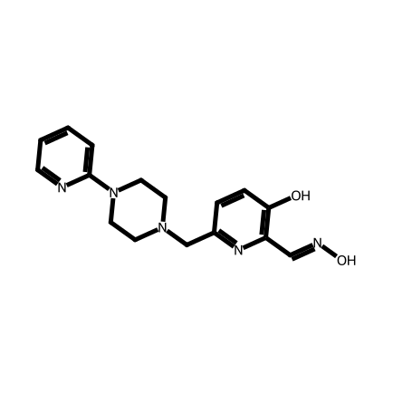 O/N=C/c1nc(CN2CCN(c3ccccn3)CC2)ccc1O